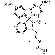 COc1ccc(C(c2ccccc2)(c2ccc(OC)cc2)C(O)CCCCCO)cc1